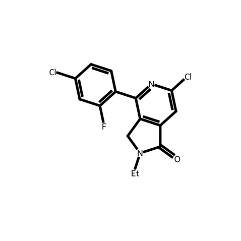 CCN1Cc2c(cc(Cl)nc2-c2ccc(Cl)cc2F)C1=O